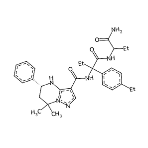 CCc1ccc(C(CC)(NC(=O)c2cnn3c2N[C@@H](c2ccccc2)CC3(C)C)C(=O)NC(CC)C(N)=O)cc1